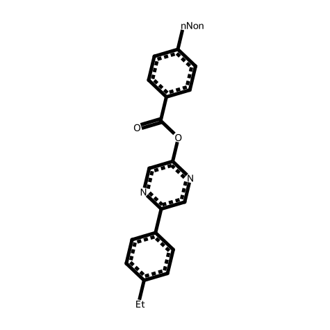 CCCCCCCCCc1ccc(C(=O)Oc2cnc(-c3ccc(CC)cc3)cn2)cc1